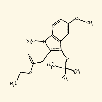 CCOC(=O)Cc1c(SC(C)(C)C)c2cc(OC)ccc2n1C